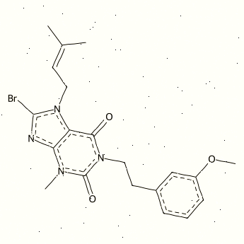 COc1cccc(CCn2c(=O)c3c(nc(Br)n3CC=C(C)C)n(C)c2=O)c1